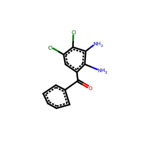 Nc1c(C(=O)c2ccccc2)cc(Cl)c(Cl)c1N